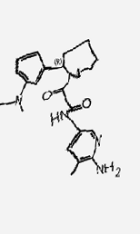 Cc1cc(NC(=O)C(=O)N2CCCC[C@@H]2c2cccc(N(C)C)c2)cnc1N